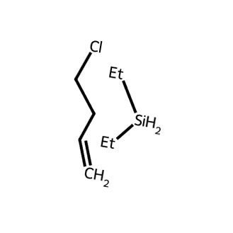 C=CCCCl.CC[SiH2]CC